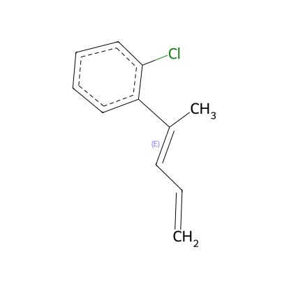 C=C/C=C(\C)c1ccccc1Cl